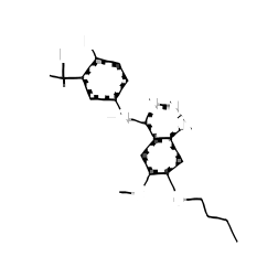 CCCCOc1cc2nnnc(Nc3ccc(F)c(C(F)(F)F)c3)c2cc1OC